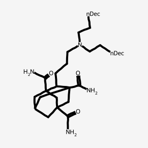 CCCCCCCCCCCCN(CCCCCCCCCCCC)CCCC1C2(C(N)=O)CC3CC(C(N)=O)(C2)CC1(C(N)=O)C3